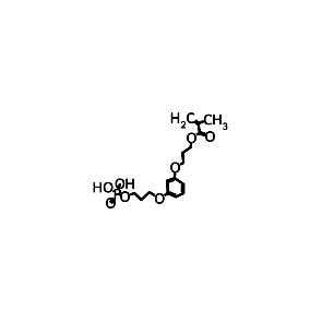 C=C(C)C(=O)OCCCOc1cccc(OCCCOP(=O)(O)O)c1